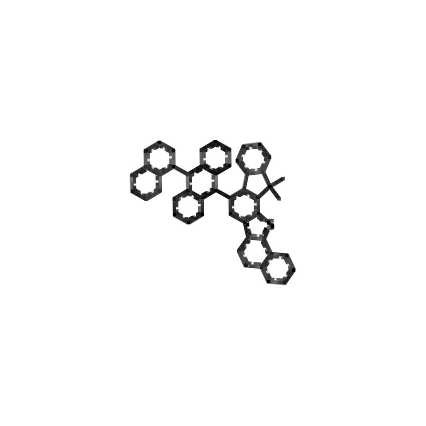 CC1(C)c2ccccc2-c2c(-c3c4ccccc4c(-c4cccc5ccccc45)c4ccccc34)cc3c(sc4c5ccccc5ccc34)c21